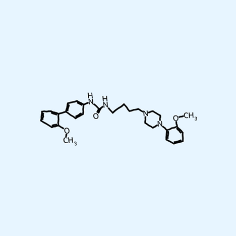 COc1ccccc1-c1ccc(NC(=O)NCCCCN2CCN(c3ccccc3OC)CC2)cc1